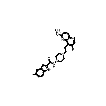 COc1ccc2ncc(F)c(CCN3CCN(NC(=O)c4cc5cc(F)ccc5[nH]4)CC3)c2n1